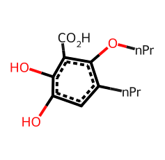 CCCOc1c(CCC)cc(O)c(O)c1C(=O)O